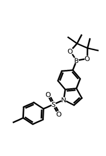 Cc1ccc(S(=O)(=O)n2ccc3cc(B4OC(C)(C)C(C)(C)O4)ccc32)cc1